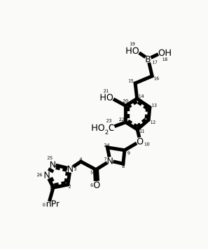 CCCc1cn(CC(=O)N2CC(Oc3ccc(CCB(O)O)c(O)c3C(=O)O)C2)nn1